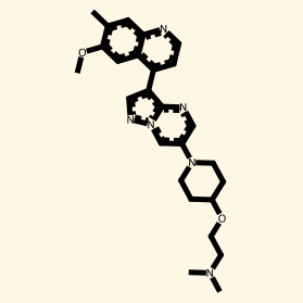 COc1cc2c(-c3cnn4cc(N5CCC(OCCN(C)C)CC5)cnc34)ccnc2cc1C